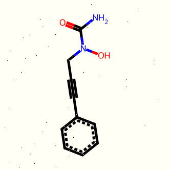 NC(=O)N(O)CC#Cc1ccccc1